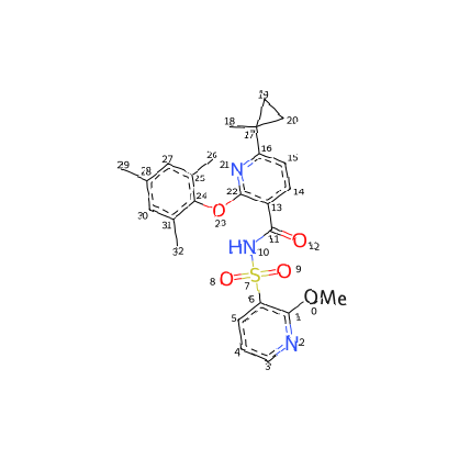 COc1ncccc1S(=O)(=O)NC(=O)c1ccc(C2(C)CC2)nc1Oc1c(C)cc(C)cc1C